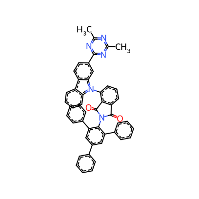 Cc1nc(C)nc(-c2ccc3c4ccccc4n(-c4cccc5c4C(=O)N(c4c(-c6ccccc6)cc(-c6ccccc6)cc4-c4ccccc4)C5=O)c3c2)n1